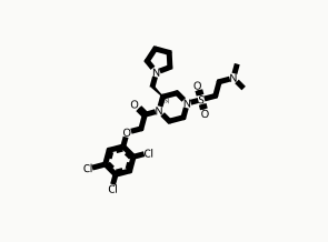 CN(C)CCS(=O)(=O)N1CCN(C(=O)COc2cc(Cl)c(Cl)cc2Cl)[C@@H](CN2CCCC2)C1